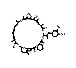 COC1CC2CCC(C)C(O)(O2)C(=O)C(=O)N2CCCCC2C(=O)OC(C(C)CC2CCC(O)C(OC)C2)CC(=O)C(C)/C=C(\C)C(O)C(OC)C(=O)C(C)CC(C)/C=C/C=C/C=C/1C